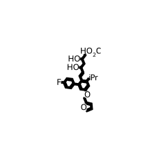 CC(C)c1cc(OCc2ccco2)cc(-c2ccc(F)cc2)c1C=CC(O)CC(O)CC(=O)O